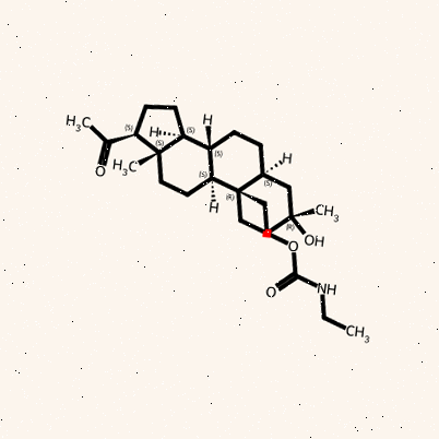 CCNC(=O)OCC[C@]12CC[C@@](C)(O)C[C@@H]1CC[C@H]1[C@@H]3CC[C@H](C(C)=O)[C@@]3(C)CC[C@@H]12